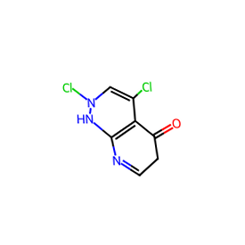 O=C1CC=NC2=C1C(Cl)=CN(Cl)N2